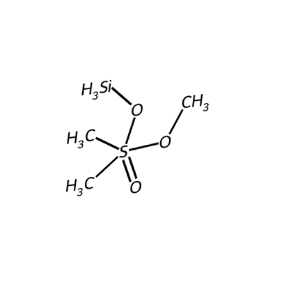 COS(C)(C)(=O)O[SiH3]